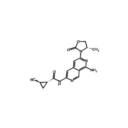 C[C@H]1COC(=O)N1c1cc2cc(NC(=O)[C@@H]3C[C@H]3C#N)ncc2c(N)n1